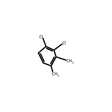 Cc1ccc(Cl)c(Cl)c1C